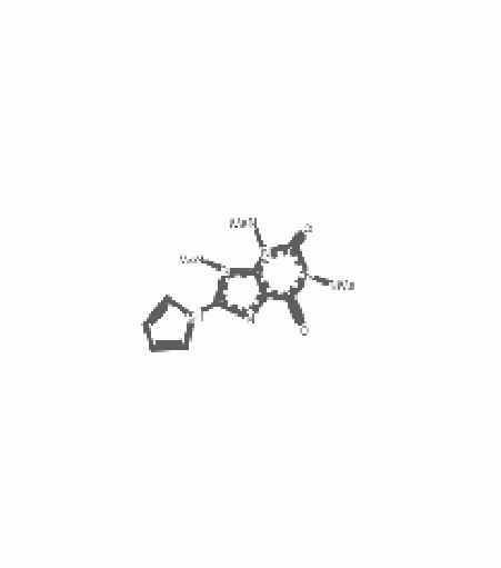 CNn1c(=O)c2nc([SH]3C=CC=C3)n(NC)c2n(NC)c1=O